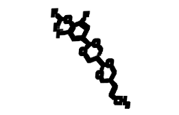 C/C=C/[C@H]1CO[C@H]([C@H]2CO[C@H](c3cc(F)c(OC(F)F)c(F)c3)OC2)OC1